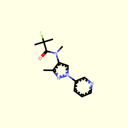 Cc1nn(-c2cccnc2)cc1N(C)C(=O)C(C)(C)F